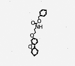 O=C(NCCOc1ccc2c(c1)oc1ccccc12)OCc1ccccc1